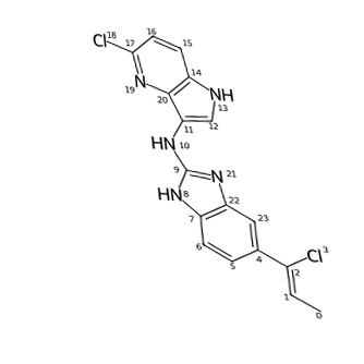 CC=C(Cl)c1ccc2[nH]c(Nc3c[nH]c4ccc(Cl)nc34)nc2c1